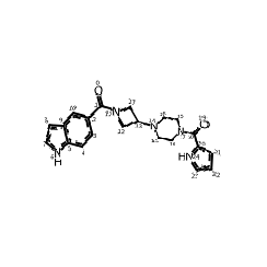 O=C(c1ccc2[nH]ccc2c1)N1CC(N2CCN(C(=O)c3ccc[nH]3)CC2)C1